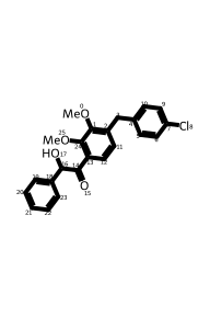 COc1c(Cc2ccc(Cl)cc2)ccc(C(=O)C(O)c2ccccc2)c1OC